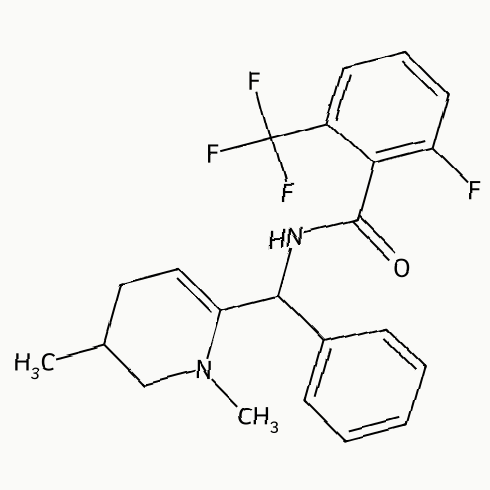 CC1CC=C(C(NC(=O)c2c(F)cccc2C(F)(F)F)c2ccccc2)N(C)C1